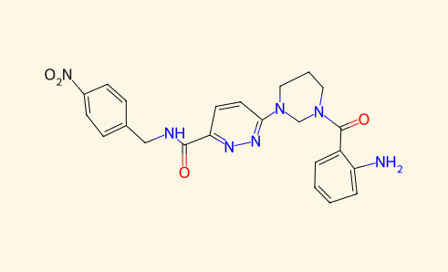 Nc1ccccc1C(=O)N1CCCN(c2ccc(C(=O)NCc3ccc([N+](=O)[O-])cc3)nn2)C1